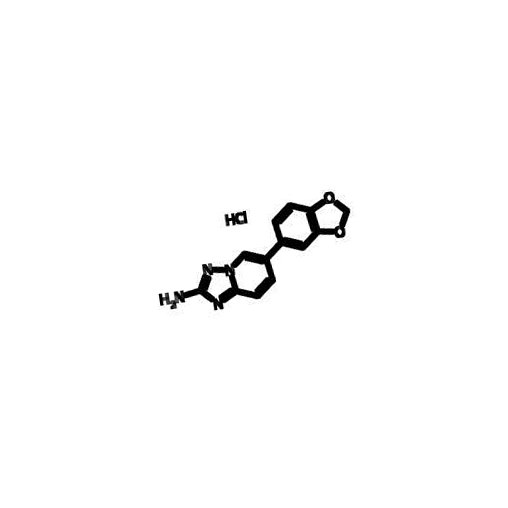 Cl.Nc1nc2ccc(-c3ccc4c(c3)OCO4)cn2n1